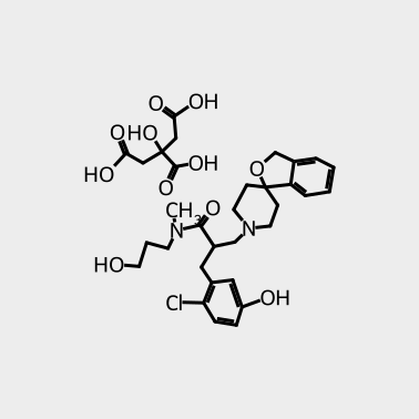 CN(CCCO)C(=O)C(Cc1cc(O)ccc1Cl)CN1CCC2(CC1)OCc1ccccc12.O=C(O)CC(O)(CC(=O)O)C(=O)O